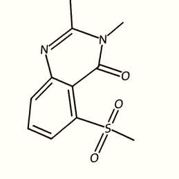 Cc1nc2cccc(S(C)(=O)=O)c2c(=O)n1C